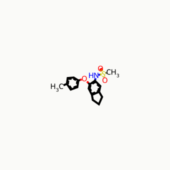 Cc1ccc(Oc2cc3c(cc2NS(C)(=O)=O)CCC3)cc1